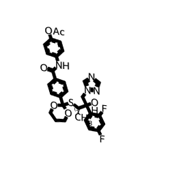 CC(=O)Oc1ccc(NC(=O)c2ccc(C3(S[C@@H](C)C(O)(Cn4cncn4)c4ccc(F)cc4F)OCCCO3)cc2)cc1